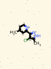 Cc1ccnc(-c2n[nH]c(C)c2Cl)c1